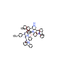 CC/C=C/C=C(/C(=C\NC)c1ccc(C(C)(C)C)cc1)N1c2cc(-n3c4ccccc4c4ccccc43)ccc2B2c3ccc(-n4c5ccccc5c5ccccc54)cc3N(C3=C(c4ccc(C(C)(C)C)cc4)CNC=C3c3ccc(C(C)(C)C)cc3)c3cc(-c4ccccc4)cc1c32